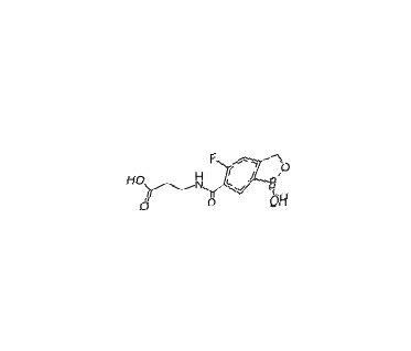 O=C(O)CCNC(=O)c1cc2c(cc1F)COB2O